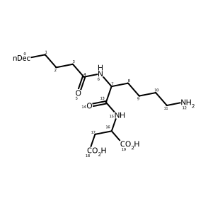 CCCCCCCCCCCCCC(=O)NC(CCCCN)C(=O)NC(CC(=O)O)C(=O)O